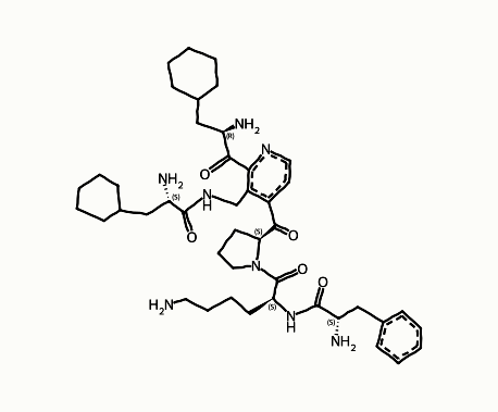 NCCCC[C@H](NC(=O)[C@@H](N)Cc1ccccc1)C(=O)N1CCC[C@H]1C(=O)c1ccnc(C(=O)[C@H](N)CC2CCCCC2)c1CNC(=O)[C@@H](N)CC1CCCCC1